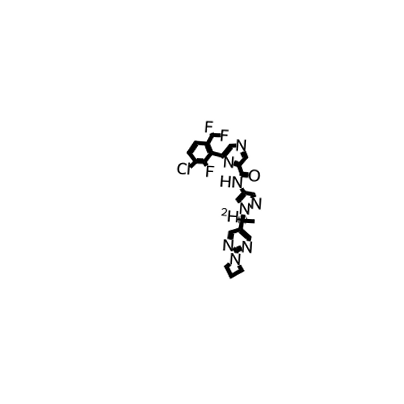 [2H][C@@](C)(c1cnc(N2CCC2)nc1)n1cc(NC(=O)c2cncc(-c3c(C(F)F)ccc(Cl)c3F)n2)cn1